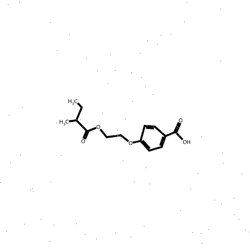 CCC(C)C(=O)OCCOc1ccc(C(=O)O)cc1